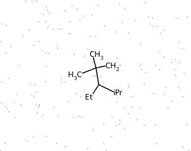 [CH2]C(C)(C)C(CC)C(C)C